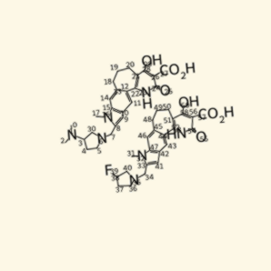 CN(C)C1CCN(Cc2cc3cc4c(cc3n2C)CCCc2c-4[nH]c(=O)c(C(=O)O)c2O)C1.Cn1c(CN2CC[C@@H](F)C2)cc2cc3c(cc21)CCCc1c-3[nH]c(=O)c(C(=O)O)c1O